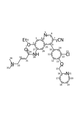 CCOc1cc2ncc(C#N)c(-c3ccc(OCc4ccccn4)c(Cl)c3)c2cc1NC(=O)/C=C/CN(C)C